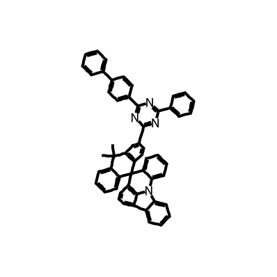 CC1(C)c2ccccc2C2(c3ccccc3-n3c4ccccc4c4cccc2c43)c2ccc(-c3nc(-c4ccccc4)nc(-c4ccc(-c5ccccc5)cc4)n3)cc21